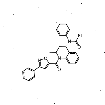 CCC(=O)N(c1ccccc1)[C@H]1CC(C)N(C(=O)c2cc(-c3ccccc3)no2)c2ccccc21